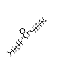 O=C(OCC(F)(F)C(F)(F)C(F)(F)C(F)(F)C(F)(F)C(F)F)c1ccccc1C(=O)OCC(F)(F)C(F)(F)C(F)(F)C(F)(F)C(F)(F)C(F)F